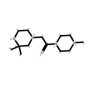 CN1CCN(C(=O)CN2CCOC(C)(C)C2)CC1